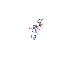 Cn1c(N2CCO[C@@H]3c4cc(F)ccc4CC[C@@H]32)nc(-c2ccncc2F)cc1=O